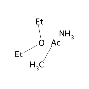 CC(C)=O.CCOCC.N